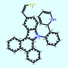 S/C=C\c1ccc2c(c1)c1c3ccccc3c3ccccc3c1n2-c1ccccc1C1C=CC=CN1